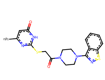 CCCc1cc(=O)[nH]c(SCC(=O)N2CCN(c3nsc4ccccc34)CC2)n1